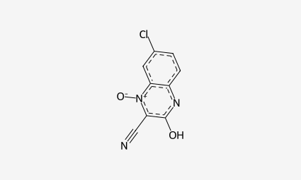 N#Cc1c(O)nc2ccc(Cl)cc2[n+]1[O-]